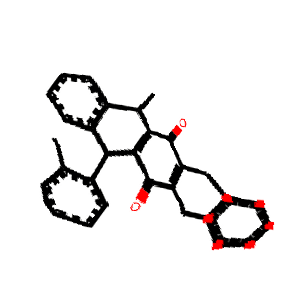 Cc1ccccc1C1C2=C(C(=O)C3=C(C2=O)C2c4ccccc4C3c3ccccc32)C(C)c2ccccc21